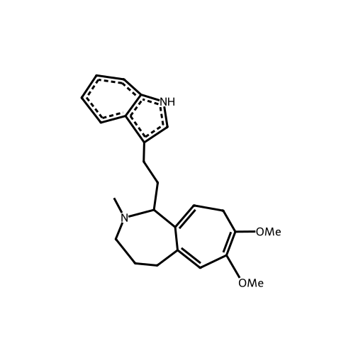 COC1=C(OC)CC=C2C(=C1)CCCN(C)C2CCc1c[nH]c2ccccc12